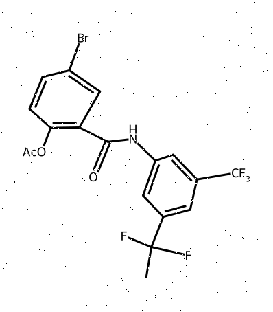 CC(=O)Oc1ccc(Br)cc1C(=O)Nc1cc(C(C)(F)F)cc(C(F)(F)F)c1